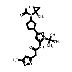 Cc1cc(CC(=O)Nc2cc(C3CCC(N(C(=O)O)C4(C)CC4)C3)nn2C(C)(C)C)on1